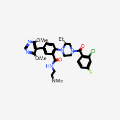 CC[C@@H]1CN(C(=O)c2ccc(F)cc2Cl)CCN1c1ccc(-c2c(OC)ncnc2OC)cc1C(=O)NCCNC